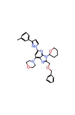 Cc1cccc(-c2ccn(-c3cc(N4CCOCC4)c4nc(COCc5ccccc5)n(C5CCCCO5)c4n3)n2)c1